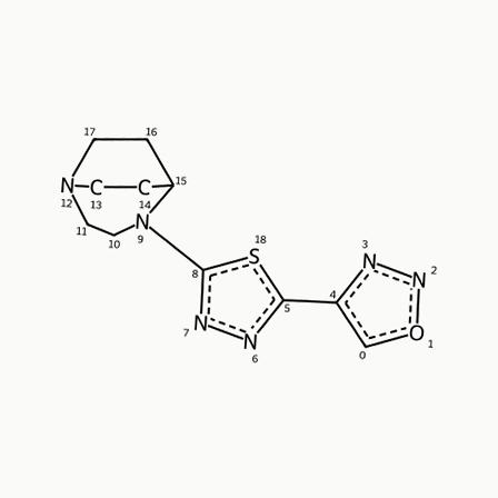 c1onnc1-c1nnc(N2CCN3CCC2CC3)s1